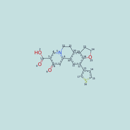 O=C(O)c1cn2c(cc1=O)-c1cc(-c3ccsc3)c3c(c1CC2)CCO3